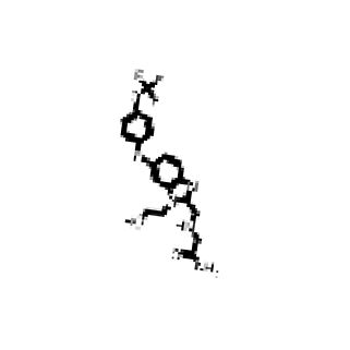 NC(=O)CNCc1nc2ccc(Oc3ccc(OC(F)(F)F)cc3)cc2n1CCO